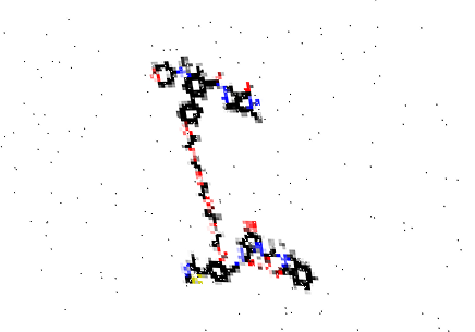 CCN(c1cc(-c2ccc(OCCOCCOCCOCCOCCOc3cc(-c4scnc4C)ccc3CNC(=O)C3C[C@@H](O)CN3C(=O)[C@H](C(C)C)N3Cc4ccccc4C3=O)cc2)cc(C(=O)NCc2c(C)cc(C)[nH]c2=O)c1C)C1CCOCC1